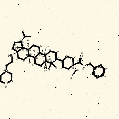 CC(C)[C@@H]1CC[C@]2(NCCN3CCOCC3)CC[C@]3(C)[C@H](CC[C@@H]4[C@@]5(C)CC=C(C6=CC[C@](CF)(C(=O)OCc7ccccc7)CC6)C(C)(C)[C@@H]5CC[C@]43C)[C@@H]12